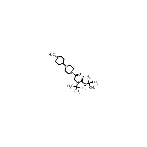 CN1CCC(N2CCN(C(=O)CN(C(=O)OC(C)(C)C)C(C)(C)C)CC2)CC1